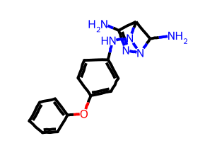 NC1=NN2C(N)C1N2Nc1ccc(Oc2ccccc2)cc1